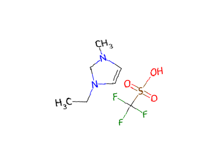 CCN1C=CN(C)C1.O=S(=O)(O)C(F)(F)F